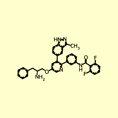 Cc1n[nH]c2ccc(-c3cc(OC[C@@H](N)Cc4ccccc4)cnc3-c3cccc(NC(=O)c4c(F)cccc4F)c3)cc12